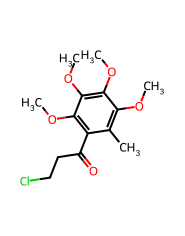 COc1c(C)c(C(=O)CCCl)c(OC)c(OC)c1OC